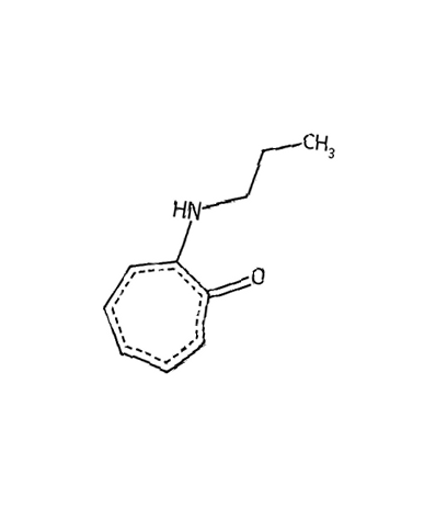 CCCNc1cccccc1=O